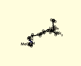 CO[C@H]([C@@H](C)[C@H]1O[C@]1(C)C[C@H](C)/C=C/C=C(\C)[C@H]1O[C@@H](CNC(=O)CCCCCOC(=O)N2CCC(N(C)C(=O)OCc3ccc(NC(=O)[C@H](CCCNC(N)=O)NC(=O)[C@@H](NC(=O)CCCCCN4C(=O)C=CC4=O)C(C)C)cc3)C2)CC[C@@H]1C)[C@@H](C)O